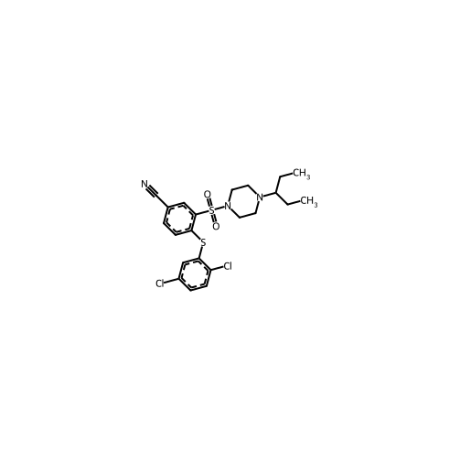 CCC(CC)N1CCN(S(=O)(=O)c2cc(C#N)ccc2Sc2cc(Cl)ccc2Cl)CC1